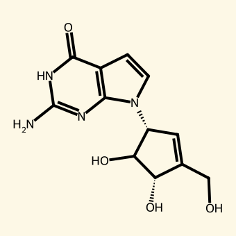 Nc1nc2c(ccn2[C@@H]2C=C(CO)[C@H](O)C2O)c(=O)[nH]1